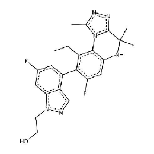 CCc1c(-c2cc(F)cc3c2cnn3CCO)c(F)cc2c1-n1c(C)nnc1C(C)(C)N2